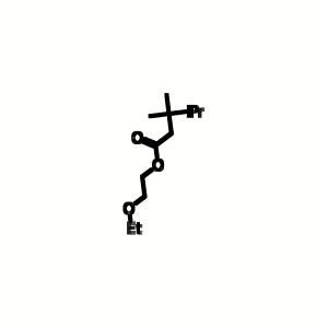 CCOCCOC(=O)CC(C)(C)C(C)C